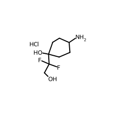 Cl.NC1CCC(O)(C(F)(F)CO)CC1